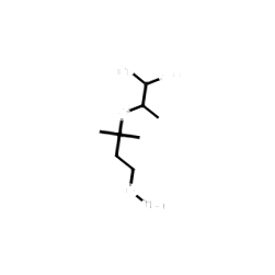 CC(C)C(O)C(C)OC(C)(C)CCOC(C)(C)C